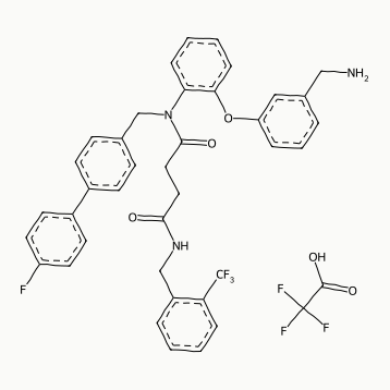 NCc1cccc(Oc2ccccc2N(Cc2ccc(-c3ccc(F)cc3)cc2)C(=O)CCC(=O)NCc2ccccc2C(F)(F)F)c1.O=C(O)C(F)(F)F